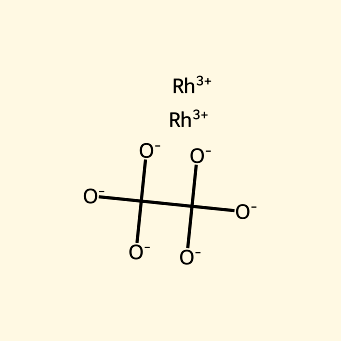 [O-]C([O-])([O-])C([O-])([O-])[O-].[Rh+3].[Rh+3]